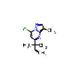 C=CC(C)(C)c1cc(Cl)n2ncc(C)c2n1